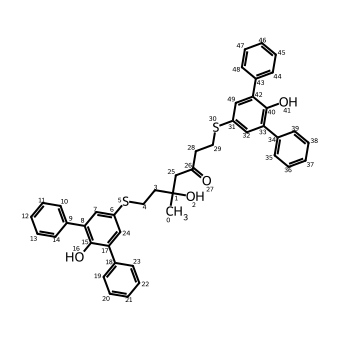 CC(O)(CCSc1cc(-c2ccccc2)c(O)c(-c2ccccc2)c1)CC(=O)CCSc1cc(-c2ccccc2)c(O)c(-c2ccccc2)c1